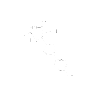 N#Cc1c(-c2ccc(-c3ccc(C(F)(F)F)cc3)cc2)[nH]c(=S)[nH]c1=O